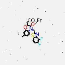 CCOC(=O)CC1Oc2cc(C)ccc2N(Cc2nc3c(F)c(F)ccc3s2)C1=O